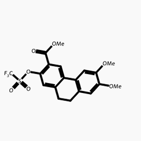 COC(=O)c1cc2c(cc1OS(=O)(=O)C(F)(F)F)CCc1cc(OC)c(OC)cc1-2